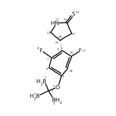 BC(B)(B)Oc1cc(F)c([C@@H]2CNC(=S)C2)c(F)c1